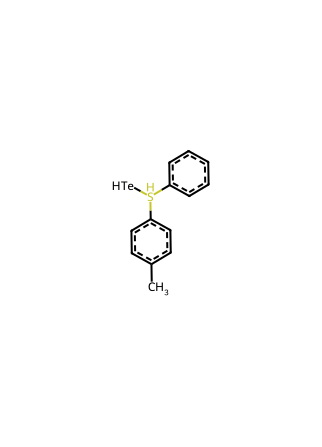 Cc1ccc([SH]([TeH])c2ccccc2)cc1